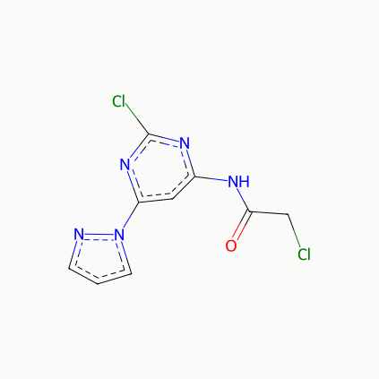 O=C(CCl)Nc1cc(-n2cccn2)nc(Cl)n1